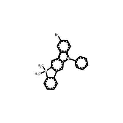 C[Si]1(C)c2ccccc2-c2cc3c(cc21)c1cc(Br)ccc1n3-c1ccccc1